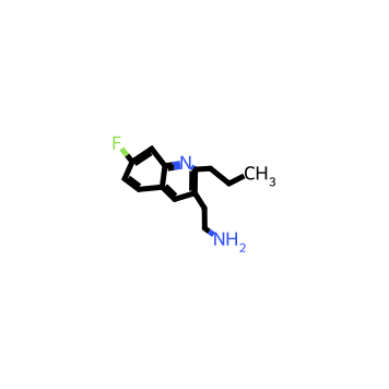 CCCc1nc2cc(F)ccc2cc1CCN